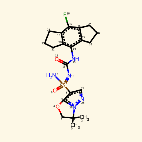 CC1(C)COc2c(S(N)(=O)=NC(=O)Nc3c4c(c(F)c5c3CCC5)CCC4)cnn21